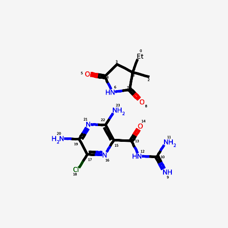 CCC1(C)CC(=O)NC1=O.N=C(N)NC(=O)c1nc(Cl)c(N)nc1N